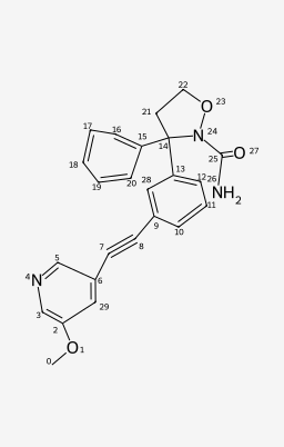 COc1cncc(C#Cc2cccc(C3(c4ccccc4)CCON3C(N)=O)c2)c1